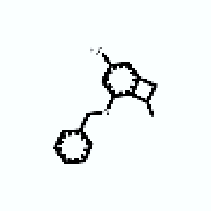 Cc1cc2c(c(OCc3ccccc3)c1)C(I)C2